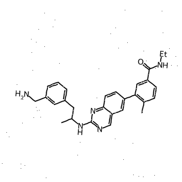 CCNC(=O)c1ccc(C)c(-c2ccc3nc(NC(C)Cc4cccc(CN)c4)ncc3c2)c1